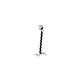 CC(C)CCCCCCCCCCCCCCCOC(=O)CO